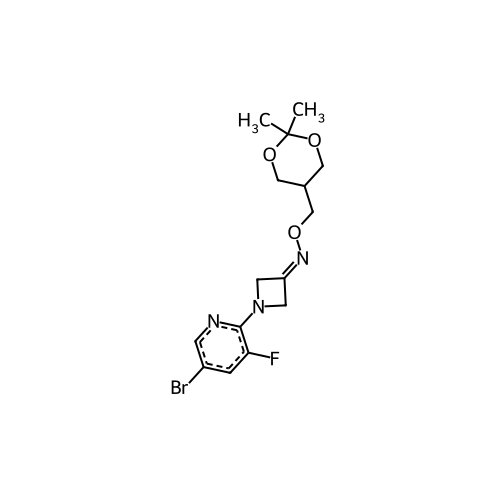 CC1(C)OCC(CON=C2CN(c3ncc(Br)cc3F)C2)CO1